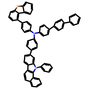 c1ccc(-c2ccc(-c3ccc(N(c4ccc(-c5ccc6c7ccc8ccccc8c7n(-c7ccccc7)c6c5)cc4)c4ccc(-c5cccc6sc7ccccc7c56)cc4)cc3)cc2)cc1